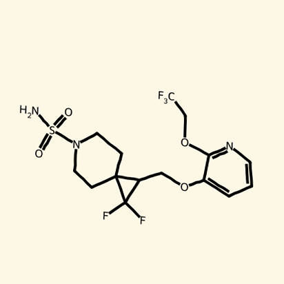 NS(=O)(=O)N1CCC2(CC1)C(COc1cccnc1OCC(F)(F)F)C2(F)F